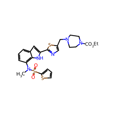 CCOC(=O)N1CCN(Cc2cnc(-c3cc4cccc(N(C)S(=O)(=O)c5cccs5)c4[nH]3)s2)CC1